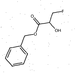 O=C(OCc1ccccc1)C(O)CF